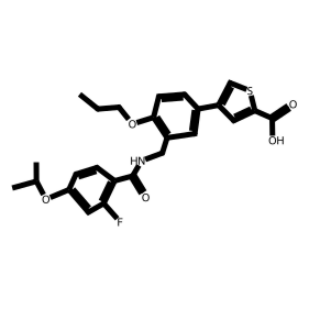 CCCOc1ccc(-c2csc(C(=O)O)c2)cc1CNC(=O)c1ccc(OC(C)C)cc1F